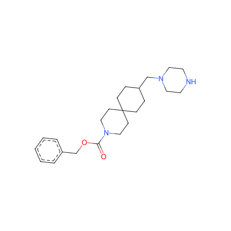 O=C(OCc1ccccc1)N1CCC2(CCC(CN3CCNCC3)CC2)CC1